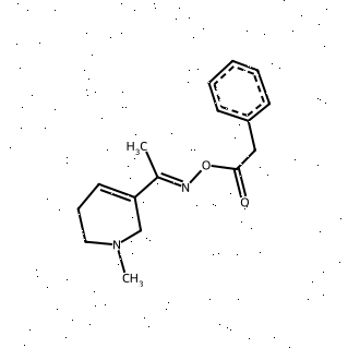 C/C(=N\OC(=O)Cc1ccccc1)C1=CCCN(C)C1